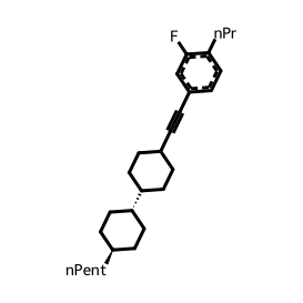 CCCCC[C@H]1CC[C@H](C2CCC(C#Cc3ccc(CCC)c(F)c3)CC2)CC1